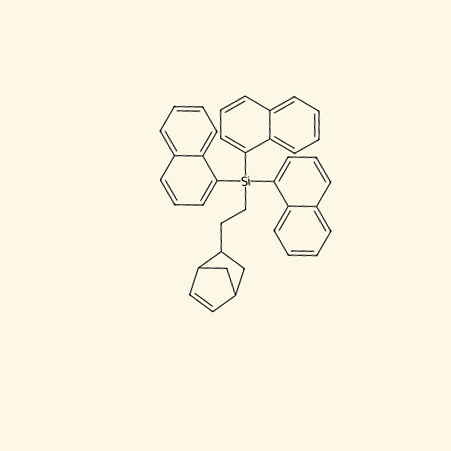 C1=CC2CC1CC2CC[Si](c1cccc2ccccc12)(c1cccc2ccccc12)c1cccc2ccccc12